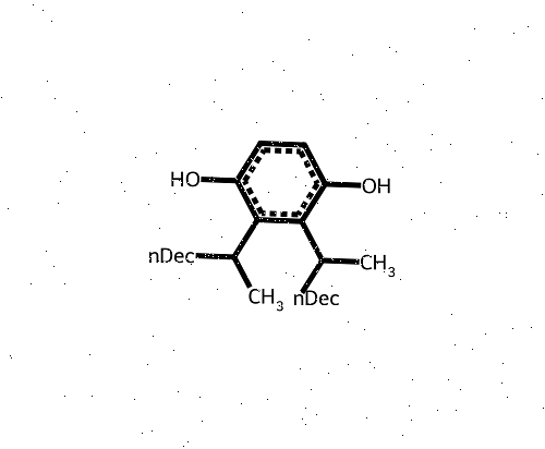 CCCCCCCCCCC(C)c1c(O)ccc(O)c1C(C)CCCCCCCCCC